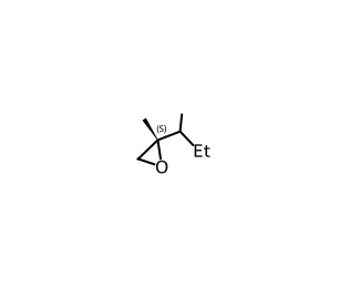 CCC(C)[C@@]1(C)CO1